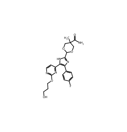 CC1(C(N)=O)COC(c2nc(-c3ccc(F)cc3)c(-c3ccnc(OCCCO)n3)[nH]2)OC1